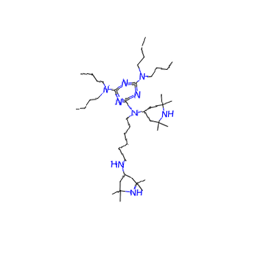 CCCCN(CCCC)c1nc(N(CCCC)CCCC)nc(N(CCCCCCNC2CC(C)(C)NC(C)(C)C2)C2CC(C)(C)NC(C)(C)C2)n1